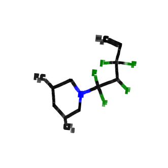 C=CC(F)(F)C(F)C(F)(F)N1CC(C(F)(F)F)CC(C(F)(F)F)C1